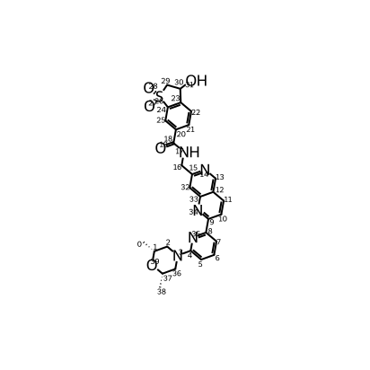 C[C@@H]1CN(c2cccc(-c3ccc4cnc(CNC(=O)c5ccc6c(c5)S(=O)(=O)CC6O)cc4n3)n2)C[C@H](C)O1